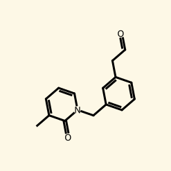 Cc1cccn(Cc2cccc(CC=O)c2)c1=O